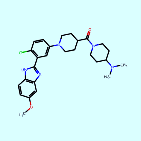 COc1ccc2[nH]c(-c3cc(N4CCC(C(=O)N5CCC(N(C)C)CC5)CC4)ccc3Cl)nc2c1